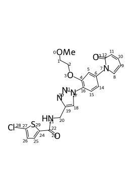 COCCOc1cc(-n2ccccc2=O)ccc1-n1cc(CNC(=O)c2ccc(Cl)s2)nn1